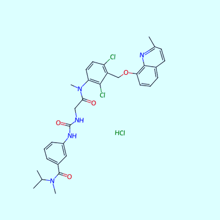 Cc1ccc2cccc(OCc3c(Cl)ccc(N(C)C(=O)CNC(=O)Nc4cccc(C(=O)N(C)C(C)C)c4)c3Cl)c2n1.Cl